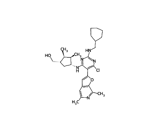 Cc1cc2cc(-c3c(Cl)nc(NCC4CCCCC4)nc3N[C@@H]3C[C@H](CO)[C@@H](C)[C@H]3C)oc2c(C)n1